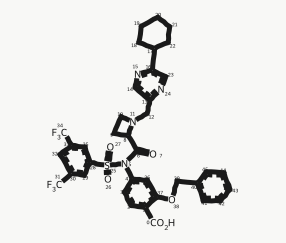 O=C(O)c1ccc(N(C(=O)C2CCN2Cc2cnc(C3CCCCC3)cn2)S(=O)(=O)c2cc(C(F)(F)F)cc(C(F)(F)F)c2)cc1OCc1ccccc1